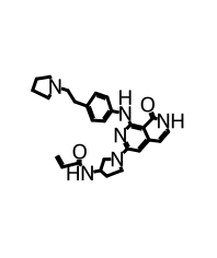 C=CC(=O)NC1CCN(c2cc3cc[nH]c(=O)c3c(Nc3ccc(CCN4CCCC4)cc3)n2)C1